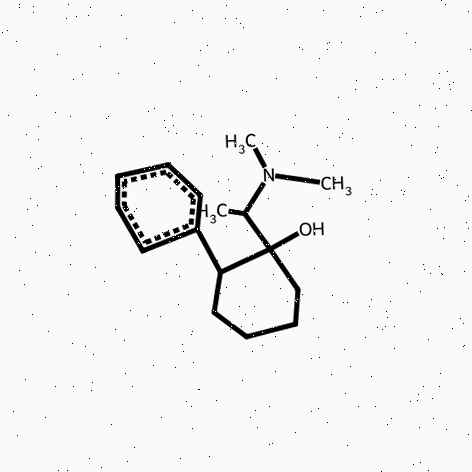 CC(N(C)C)C1(O)CCCCC1c1ccccc1